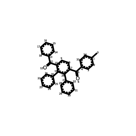 Cc1ccc(C(=O)c2ccc(C(=O)c3ccccc3)c(-c3ccccc3)c2-c2ccccc2)cc1